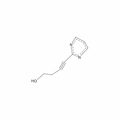 OCCC#Cc1ncccn1